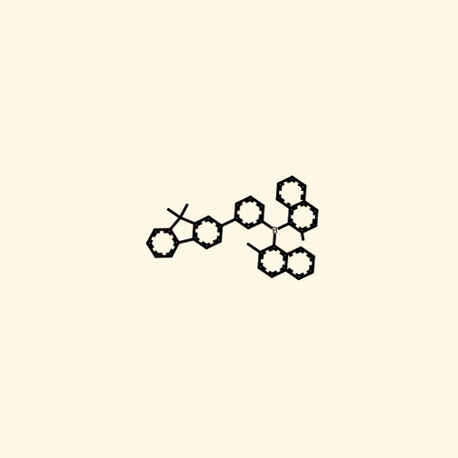 Cc1ccc2ccccc2c1B(c1cccc(-c2ccc3c(c2)C(C)(C)c2ccccc2-3)c1)c1c(C)ccc2ccccc12